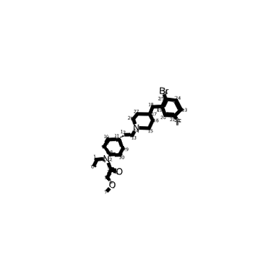 CCN(C(=O)COC)[C@H]1CC[C@H](CCN2CCC(Cc3cc(F)ccc3Br)CC2)CC1